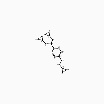 c1cc(N(CC2CC2)CC2CC2)ccc1CCC1CC1